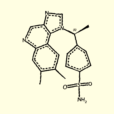 Cc1cc2ncc3ncn([C@@H](C)c4ccc(S(N)(=O)=O)cc4)c3c2cc1C